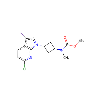 CN(C(=O)OC(C)(C)C)[C@H]1C[C@H](n2cc(I)c3ccc(Cl)nc32)C1